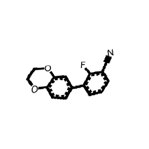 N#Cc1cccc(-c2ccc3c(c2)OCCO3)c1F